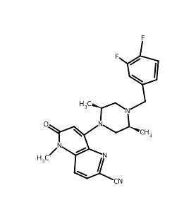 C[C@H]1CN(c2cc(=O)n(C)c3ccc(C#N)nc23)[C@@H](C)CN1Cc1ccc(F)c(F)c1